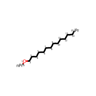 CCCOCCCCCCCCCCCCCC(C)C